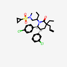 C=CCC1(CC)C[C@H](c2cccc(Cl)c2)[C@@H](c2ccc(Cl)cc2)N(C(CC)CN(C)S(=O)(=O)C2CC2)C1=O